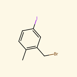 Cc1ccc(I)cc1CBr